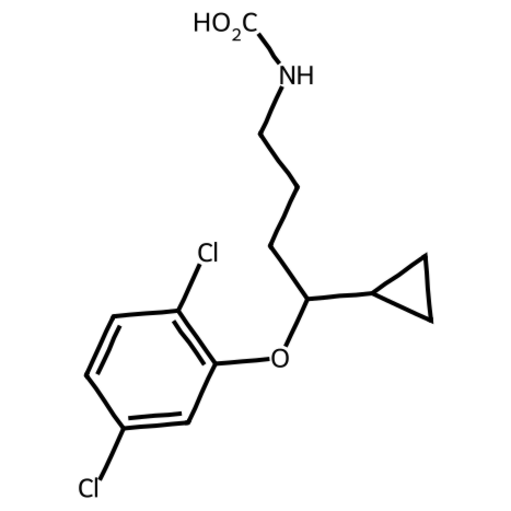 O=C(O)NCCCC(Oc1cc(Cl)ccc1Cl)C1CC1